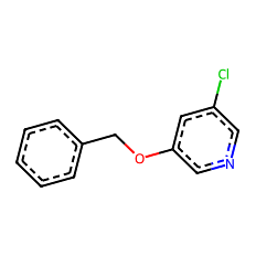 Clc1cncc(OCc2ccccc2)c1